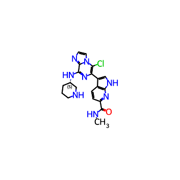 CNC(=O)c1ccc2c(-c3nc(N[C@H]4CCCNC4)c4nccn4c3Cl)c[nH]c2n1